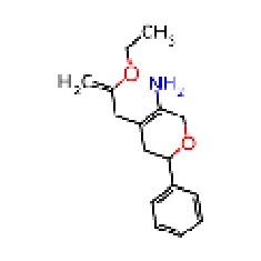 C=C(CC1=C(N)COC(c2ccccc2)C1)OCC